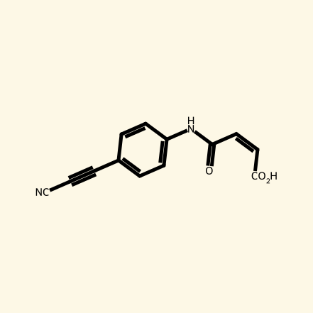 N#CC#Cc1ccc(NC(=O)/C=C\C(=O)O)cc1